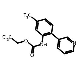 O=C(Nc1cc(C(F)(F)F)ccc1-c1cccnc1)OCC(Cl)(Cl)Cl